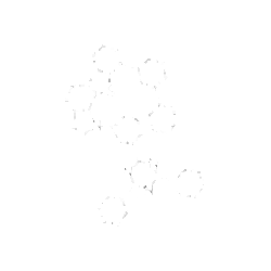 c1ccc(-c2cccc(-c3cccc4c3sc3c4ccc4ccn(-c5cccc(-c6nc(-c7ccccc7)nc(-c7ccccc7)n6)c5)c43)c2)cc1